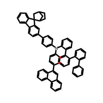 c1ccc(-c2ccccc2-c2ccccc2-c2ccccc2N(c2ccc(-c3ccc4c(c3)C3(CC5CCC3C5)c3ccccc3-4)cc2)c2ccc(-c3cc4ccccc4c4ccccc34)cc2)cc1